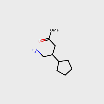 COC(=O)CC(CN)C1CCCC1